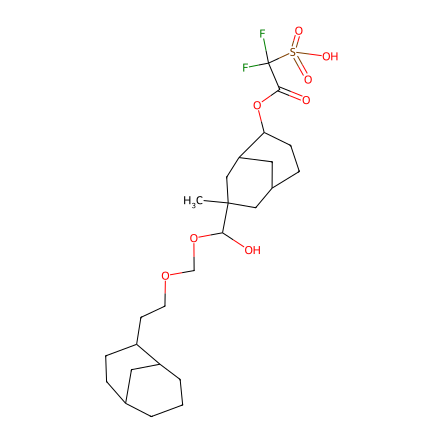 CC1(C(O)OCOCCC2CCC3CCCC2C3)CC2CCC(OC(=O)C(F)(F)S(=O)(=O)O)C(C2)C1